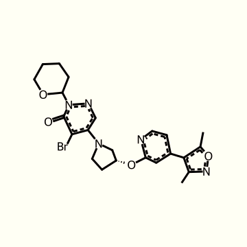 Cc1noc(C)c1-c1ccnc(O[C@@H]2CCN(c3cnn(C4CCCCO4)c(=O)c3Br)C2)c1